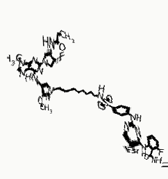 C=CC(=O)N[C@@H]1CN(c2nc(Nc3cn(CCCCCCCCNS(=O)(=O)c4ccc(Nc5ncc(Br)c(Nc6cccc(F)c6C(N)=O)n5)cc4)nc3OC)c3ncn(C)c3n2)C[C@H]1F